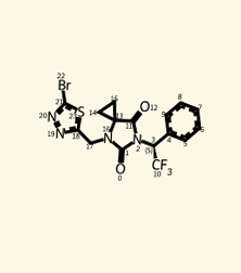 O=C1N([C@@H](c2ccccc2)C(F)(F)F)C(=O)C2(CC2)N1Cc1nnc(Br)s1